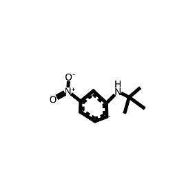 CC(C)(C)Nc1[c]ccc([N+](=O)[O-])c1